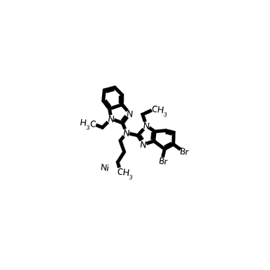 CCCCN(c1nc2ccccc2n1CC)c1nc2c(Br)c(Br)ccc2n1CC.[Ni]